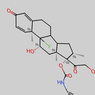 CC(C)NC(=O)O[C@@]1(C(=O)CO)[C@@H](C)CC2C3CCC4=CC(=O)C=C[C@]4(C)C3(F)[C@@H](O)C[C@@]21C